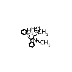 CCCn1c(CCN(C)C)c(CSc2ccccc2)c2ccccc21.Cl